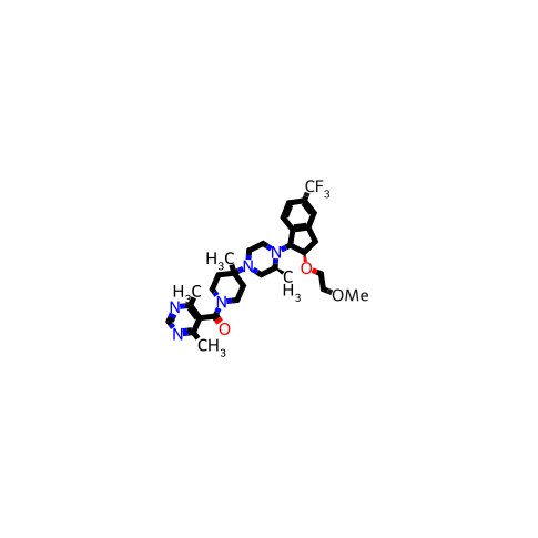 COCCO[C@@H]1Cc2cc(C(F)(F)F)ccc2C1N1CCN(C2(C)CCN(C(=O)c3c(C)ncnc3C)CC2)C[C@@H]1C